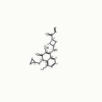 C=CC(=O)N1CC(Nc2c(C#N)c(=O)n(CC3CC3)c3c(F)cccc23)C1